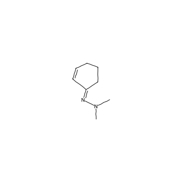 CN(C)/N=C1/C=CCCC1